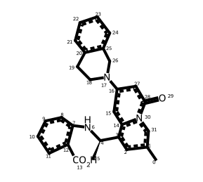 Cc1cc([C@@H](C)Nc2ccccc2C(=O)O)c2cc(N3CCc4ccccc4C3)cc(=O)n2c1